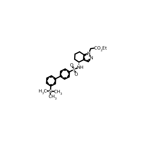 CCOC(=O)Cn1ncc2c1CCC[C@H]2NS(=O)(=O)c1ccc(-c2cccc([Si](C)(C)C)c2)cc1